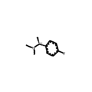 C[C@@H](c1ccc(F)cc1)N(C)C